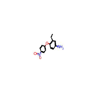 CCc1cc(N)ccc1Oc1ccc([N+](=O)[O-])cc1